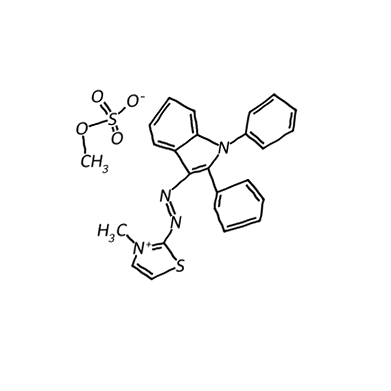 COS(=O)(=O)[O-].C[n+]1ccsc1N=Nc1c(-c2ccccc2)n(-c2ccccc2)c2ccccc12